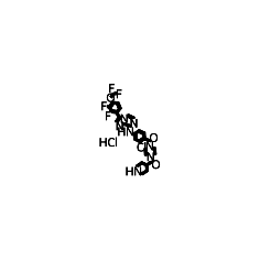 Cl.O=C(c1ccc(Nc2nccn3c(-c4ccc(OC(F)F)c(F)c4F)cnc23)cc1Cl)N1CCN(C(=O)C2CCNCC2)CC1